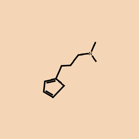 CN(C)CCCC1=CC=CC1